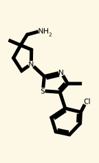 Cc1nc(N2CCC(C)(CN)C2)sc1-c1ccccc1Cl